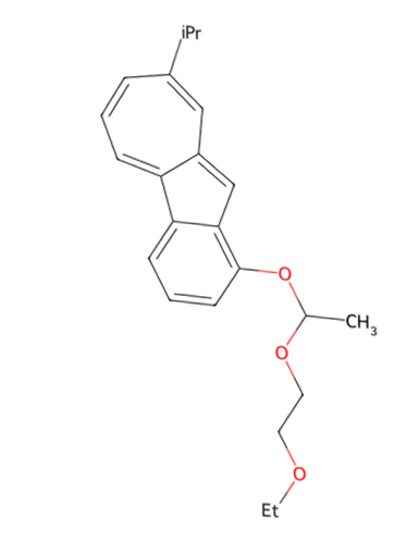 CCOCCOC(C)Oc1cccc2c3cccc(C(C)C)cc-3cc12